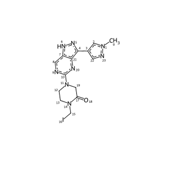 Cn1cc(-c2n[nH]c3cnc(N4CCN(CI)C(=O)C4)nc23)cn1